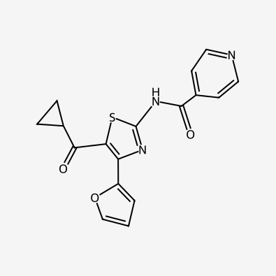 O=C(Nc1nc(-c2ccco2)c(C(=O)C2CC2)s1)c1ccncc1